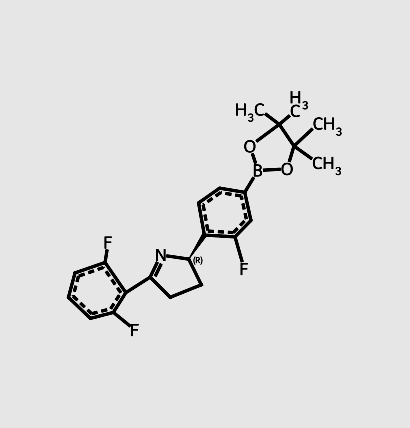 CC1(C)OB(c2ccc([C@H]3CCC(c4c(F)cccc4F)=N3)c(F)c2)OC1(C)C